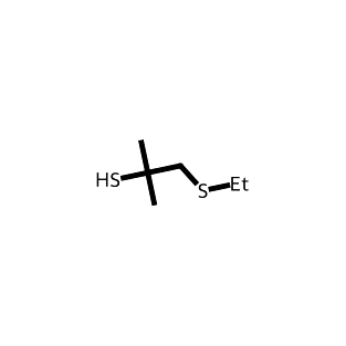 CCSCC(C)(C)S